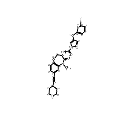 CN1C(=O)[C@@H](NC(=O)n2cc(Oc3cccc(F)n3)cn2)COc2ccc(C#CC3CCOCC3)cc21